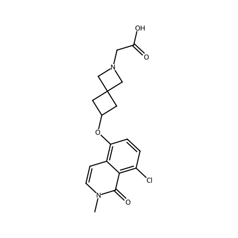 Cn1ccc2c(OC3CC4(C3)CN(CC(=O)O)C4)ccc(Cl)c2c1=O